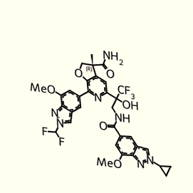 COc1cc(-c2nc(C(O)(CNC(=O)c3cc(OC)c4nn(C5CC5)cc4c3)C(F)(F)F)cc3c2OC[C@]3(C)C(N)=O)cc2cn(C(F)F)nc12